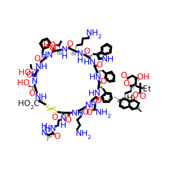 CC(O)[C@@H]1NC(=O)[C@H](Cc2ccccc2)NC(=O)[C@H](C(C)O)NC(=O)[C@H](CCCCN)NC(=O)[C@H](Cc2c[nH]c3ccccc23)NC(=O)[C@H](Cc2ccccc2)NC(=O)[C@H](Cc2ccccc2)NC(=O)[C@H](CC(N)=O)NC(=O)[C@H](CCCCN)NC(=O)[C@@H](NC(=O)CNC(=O)[C@H](C)N)CSSC[C@@H](C(=O)O)NC(=O)[C@H](CO)NC1=O.CCC(C)(C)C(=O)O[C@H]1C[C@@H](C)C=C2C=C[C@H](C)[C@H](CC[C@@H]3C[C@@H](O)CC(=O)O3)[C@H]21